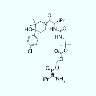 CC(C)C(NC(=O)NCC(C)(C)OC(=O)OCO[PH](=O)C(N)C(C)C)C(=O)N1CC[C@](O)(c2ccc(Cl)cc2)C(C)(C)C1